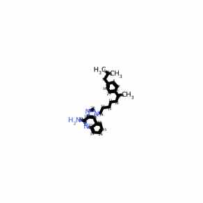 CC(C)Cc1ccc(C(C)CCCCCn2cnc3c(N)nc4ccccc4c32)cc1